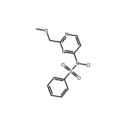 COCc1nccc(N(Cl)S(=O)(=O)c2ccccc2)n1